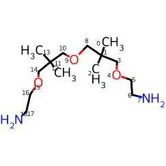 CC(C)(COCCN)COCC(C)(C)COCCN